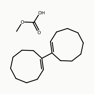 C1=C(C2=CCCCCCCC2)CCCCCCC1.COC(=O)O